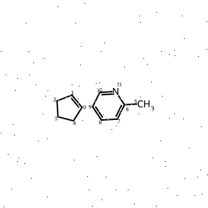 C1=CCCC1.Cc1ccccn1